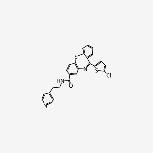 O=C(NCCc1ccncc1)c1ccc2c(c1)N=C(c1ccc(Cl)s1)c1ccccc1S2